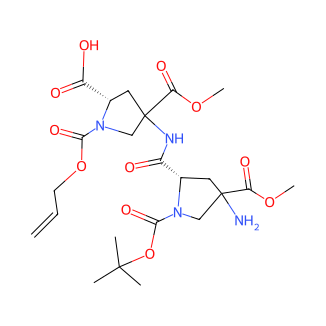 C=CCOC(=O)N1CC(NC(=O)[C@@H]2CC(N)(C(=O)OC)CN2C(=O)OC(C)(C)C)(C(=O)OC)C[C@H]1C(=O)O